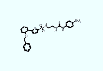 O=[N+]([O-])c1ccc(NC(=S)NCCNS(=O)(=O)c2ccc(-c3ccccc3OCc3ccccc3)s2)cc1